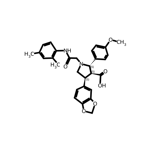 COc1ccc([C@@H]2[C@@H](C(=O)O)[C@@H](c3ccc4c(c3)OCO4)CN2CC(=O)Nc2ccc(C)cc2C)cc1